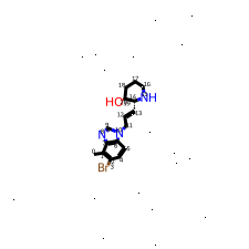 Cc1c(Br)ccc2c1ncn2C/C=C/[C@H]1NCCC[C@@H]1O